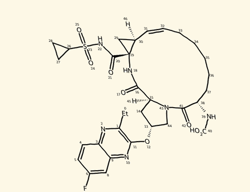 CCc1nc2ccc(F)cc2nc1O[C@@H]1C[C@H]2C(=O)N[C@]3(C(=O)NS(=O)(=O)C4CC4)C[C@H]3C=CCCCCC[C@H](NC(=O)O)C(=O)N2C1